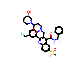 C[C@H](NC(=O)c1c(CN2CCC(N3CCC[C@@H](O)C3)CC2)c(-c2cccc(CF)c2)nc2ccc(S(C)(=O)=O)cc12)c1ccccc1